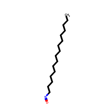 CCCCCCCCCCCCCCCCN=O